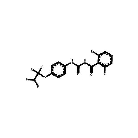 O=C(NC(=O)c1c(F)cccc1F)Nc1ccc(SC(F)(F)C(F)F)cc1